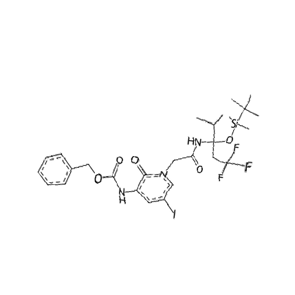 CC(C)C(CC(F)(F)F)(NC(=O)Cn1cc(I)cc(NC(=O)OCc2ccccc2)c1=O)O[Si](C)(C)C(C)(C)C